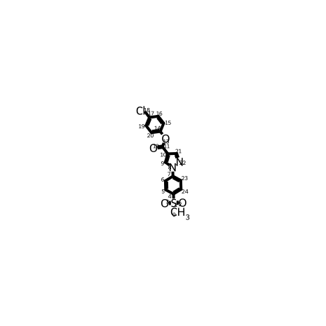 CS(=O)(=O)c1ccc(-n2cc(C(=O)Oc3ccc(Cl)cc3)cn2)cc1